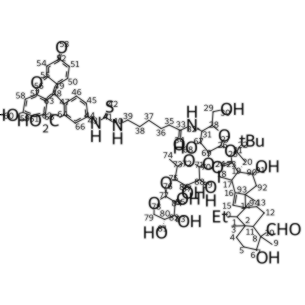 CCC1C2(C)CC[C@H](O)C(C)(C=O)C2CCC12C=C1C(I)[C@@](CCC(C)(C)C)(C(=O)O[C@@H]3OC(CO)[C@H](NC(=O)CCCCCNC(=S)Nc4ccc(-c5c6ccc(=O)cc-6oc6cc(O)ccc56)c(C(=O)O)c4)C(O)C3O[C@@H]3OC(C)[C@H](O[C@@H]4OC[C@@H](O)C(O)C4O)C(O)C3O)C(O)CC12C